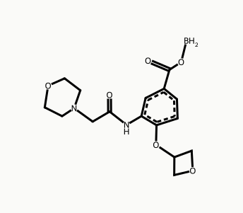 BOC(=O)c1ccc(OC2COC2)c(NC(=O)CN2CCOCC2)c1